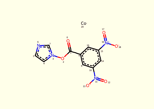 O=C(On1ccnc1)c1cc([N+](=O)[O-])cc([N+](=O)[O-])c1.[Co]